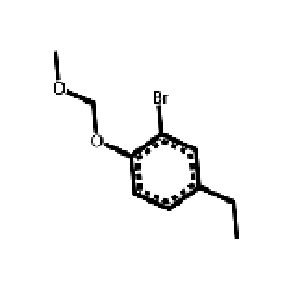 CCc1ccc(OCOC)c(Br)c1